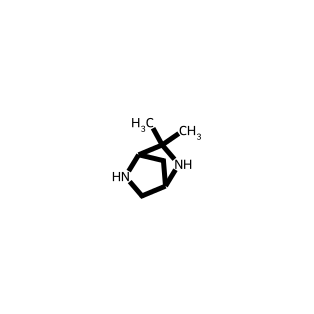 CC1(C)NC2CNC1C2